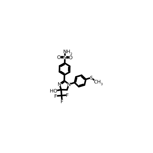 CSc1ccc(N2CC(O)(C(F)(F)F)N=C2c2ccc(S(N)(=O)=O)cc2)cc1